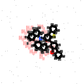 Bc1c(B)c(B)c2c(N(c3cc(-c4ccc5c(c4)oc4ccccc45)c4sc5ccccc5c4c3)c3c(B)c(B)c(B)c4c(B)c(B)c(B)c(B)c34)c(B)c(B)c(B)c2c1B